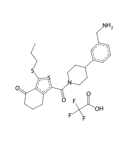 CCCSc1sc(C(=O)N2CCC(c3cccc(CN)c3)CC2)c2c1C(=O)CCC2.O=C(O)C(F)(F)F